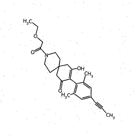 CC#Cc1cc(C)c(C2=C(O)CC3(CCN(C(=O)COCC)CC3)CC2=O)c(C)c1